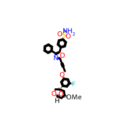 CO[C@@H]1C[C@@H]2OC[C@@](c3cc(F)cc(OCC#Cc4nc(-c5ccccc5)c(-c5ccc(S(N)(=O)=O)cc5)o4)c3)(C1)O2